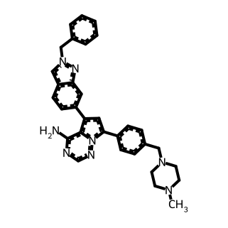 CN1CCN(Cc2ccc(-c3cc(-c4ccc5cn(Cc6ccccc6)nc5c4)c4c(N)ncnn34)cc2)CC1